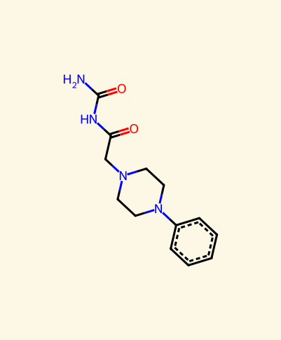 NC(=O)NC(=O)CN1CCN(c2ccccc2)CC1